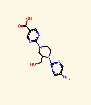 Nc1cnc(N2CCN(c3ncc(C(=O)O)cn3)CC2CO)nc1